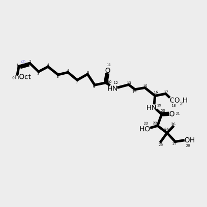 CCCCCCCC/C=C\CCCCCCCC(=O)NCCCC(CC(=O)O)NC(=O)C(O)C(C)(C)CO